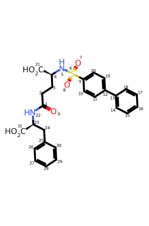 O=C(CC[C@H](NS(=O)(=O)c1ccc(-c2ccccc2)cc1)C(=O)O)N[C@@H](Cc1ccccc1)C(=O)O